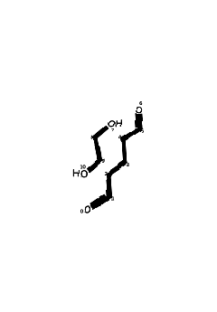 O=CCCCC=O.OCCO